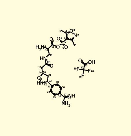 Cc1noc(C)c1S(=O)(=O)OC(=O)C(N)CNC(=O)C[C@H]1C[C@@H](c2ccc(C(=N)N)cc2)NO1.O=C(O)C(F)(F)F